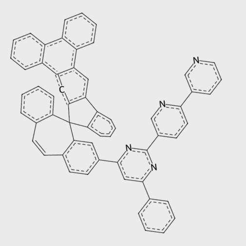 C1=Cc2ccc(-c3cc(-c4ccccc4)nc(-c4ccc(-c5cccnc5)nc4)n3)cc2C2(c3ccccc31)c1ccccc1-c1cc3c4ccccc4c4ccccc4c3cc12